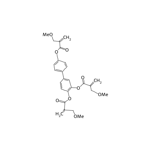 C=C(COC)C(=O)Oc1ccc(-c2ccc(OC(=O)C(=C)COC)c(OC(=O)C(=C)COC)c2)cc1